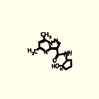 Cc1cc(C)n2ncc(C(=O)NC3CCC[C@H]3O)c2n1